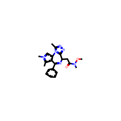 CON(C)C(=O)CC1N=C(c2ccccc2)c2c(cn(C)c2C)-n2c(C)nnc21